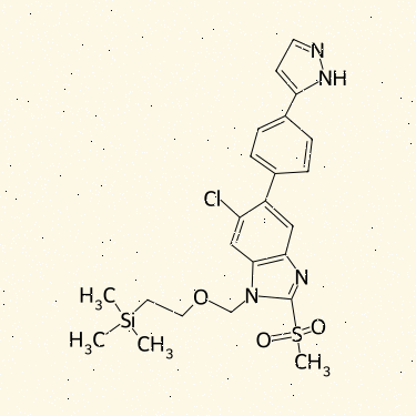 C[Si](C)(C)CCOCn1c(S(C)(=O)=O)nc2cc(-c3ccc(-c4ccn[nH]4)cc3)c(Cl)cc21